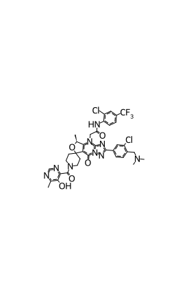 Cc1ncnc(C(=O)N2CCC3(CC2)O[C@@H](C)c2c3c(=O)n3nc(-c4ccc(CN(C)C)c(Cl)c4)nc3n2CC(=O)Nc2ccc(C(F)(F)F)cc2Cl)c1O